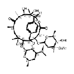 CC[C@H]1OC(=O)[C@H](C)[C@@H](OC2C[C@@](C)(OC)[C@@H](O)[C@H](C)O2)[C@H](C)[C@@H](O[C@@H]2O[C@H](C)C[C@H](N(C)C)[C@H]2OCc2ccc(OC)cc2)[C@@](C)(OC)C[C@@H](C)C(=O)[C@H](C)[C@@H](O)[C@]1(C)O